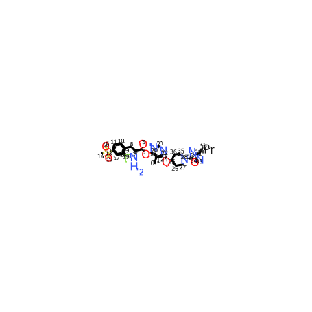 Cc1c(OC(=O)[C@@H](N)Cc2ccc(S(C)(=O)=O)cc2F)ncnc1OC1CCN(c2nc(C(C)C)no2)CC1